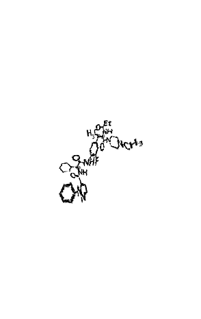 CCC(=O)N[C@@H](C(=O)N1CCN(C)CC1)[C@@H](C)c1ccc(NC(=O)[C@@H](NC(=O)c2ccnn2-c2ccccc2)C2CCCCC2)c(F)c1